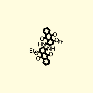 CCOc1cc2[nH]c3c(cc(OCC)c4c(=O)c5ccccc5c(=O)c43)[nH]c2c2c(=O)c3ccccc3c(=O)c12